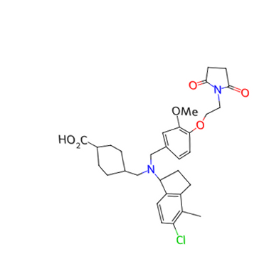 COc1cc(CN(CC2CCC(C(=O)O)CC2)C2CCc3c2ccc(Cl)c3C)ccc1OCCN1C(=O)CCC1=O